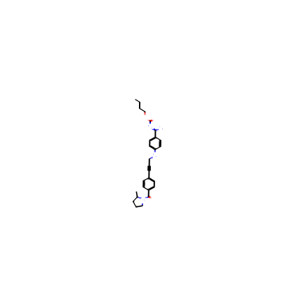 CCCCOC(=O)N=C(N)c1ccc(NCC#Cc2ccc(C(=O)N3CCCC3C)cc2)cc1